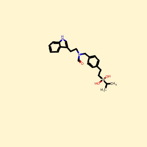 CC(C)[Si](O)(O)CCc1ccc(CN(C=O)CCc2c[nH]c3ccccc23)cc1